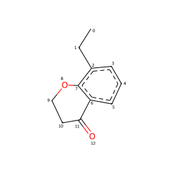 CCc1cccc2c1OCCC2=O